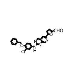 O=Cc1ccc(-c2cc3cnc(Nc4ccc(OCc5ccccc5)c(Cl)c4)nc3cn2)o1